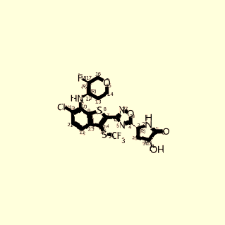 O=C1N[C@@H](c2nc(-c3sc4c(N[C@@H]5CCOC[C@@H]5F)c(Cl)ccc4c3SC(F)(F)F)no2)C[C@H]1O